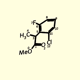 COC(=O)C(C)c1c(F)cccc1Cl